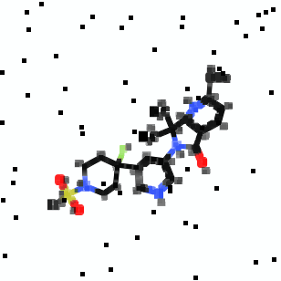 CCS(=O)(=O)N1CCC(F)(c2cncc(N3C(=O)c4ccc(OC)nc4C3(C)C)c2)CC1